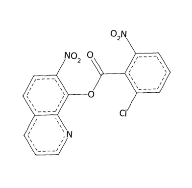 O=C(Oc1c([N+](=O)[O-])ccc2cccnc12)c1c(Cl)cccc1[N+](=O)[O-]